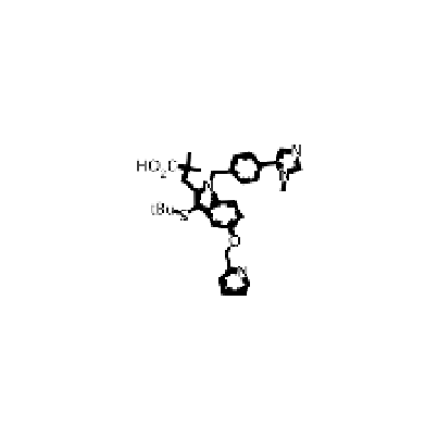 Cn1cncc1-c1ccc(Cn2c(CC(C)(C)C(=O)O)c(SC(C)(C)C)c3cc(OCc4ccccn4)ccc32)cc1